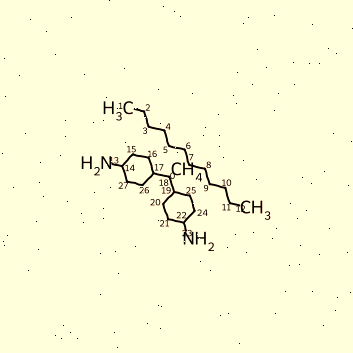 C.CCCCCCCCCCCC.NC1CCC(CC2CCC(N)CC2)CC1